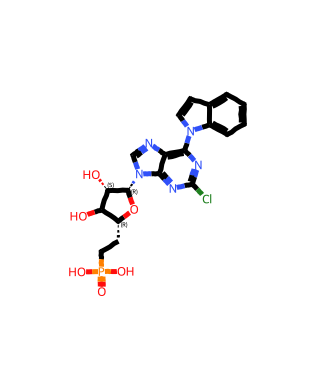 O=P(O)(O)CC[C@H]1O[C@@H](n2cnc3c(-n4ccc5ccccc54)nc(Cl)nc32)[C@@H](O)C1O